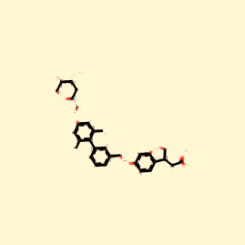 Cc1cc(OC[C@@H]2C[C@@H](O)[C@@H](O)CO2)cc(C)c1-c1cccc(COc2ccc3c(c2)OCC3CC(=O)O)c1